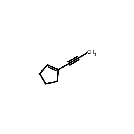 CC#CC1=C[CH]CC1